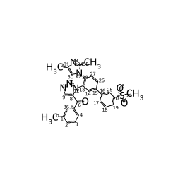 Cc1cccc(C(=O)c2cnnn2-c2cc(-c3cccc(S(C)(=O)=O)c3)ccc2-n2cc(C)nc2C)c1